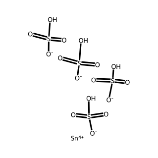 O=S(=O)([O-])O.O=S(=O)([O-])O.O=S(=O)([O-])O.O=S(=O)([O-])O.[Sn+4]